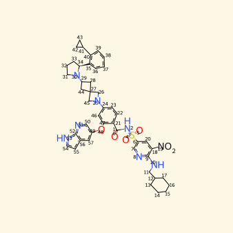 O=C(NS(=O)(=O)c1cnc(NCC2CCCCC2)c([N+](=O)[O-])c1)c1ccc(N2CC3(CC(N4CCC[C@H]4c4ccccc4C4CC4)C3)C2)cc1Oc1cnc2[nH]ccc2c1